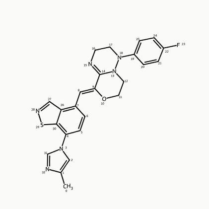 Cc1cn(-c2ccc(/C=C3\OCCN4C3=NCCN4c3ccc(F)cc3)c3cnsc23)cn1